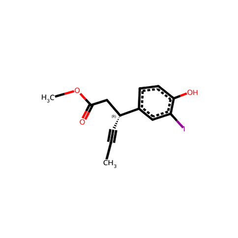 CC#C[C@H](CC(=O)OC)c1ccc(O)c(I)c1